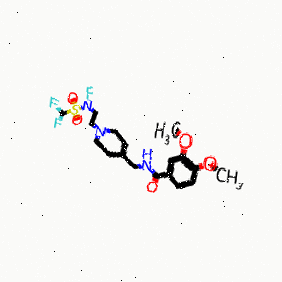 COc1ccc(C(=O)NCC2CCN(CCN(F)S(=O)(=O)C(F)F)CC2)cc1OC